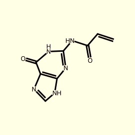 C=CC(=O)Nc1nc2[nH]cnc2c(=O)[nH]1